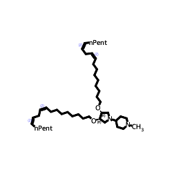 CCCCC/C=C\C/C=C\CCCCCCCCO[C@@H]1CN(C2CCN(C)CC2)C[C@H]1OCCCCCCCC/C=C\C/C=C\CCCCC